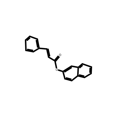 O=C(C=Cc1ccccc1)Oc1ccc2ccccc2c1